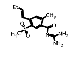 CCC=Cc1cc(C)c(C(=O)N=C(N)N)cc1S(C)(=O)=O